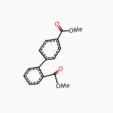 COC(=O)c1ccc(-c2ccccc2C(=O)OC)cc1